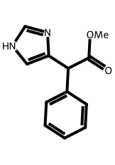 COC(=O)C(c1ccccc1)c1c[nH]cn1